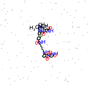 C[C@@H]1CN(c2ccc(-c3ccc(C(=O)NCCCCCCCNc4cccc5c4C(=O)N(C4CCC(=O)NC4=O)C5=O)cc3F)cc2NC(=O)c2c[nH]c(=O)cc2C(F)(F)F)C[C@H](C)N1C